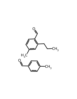 CCCc1cc(C)ccc1C=O.Cc1ccc(C=O)cc1